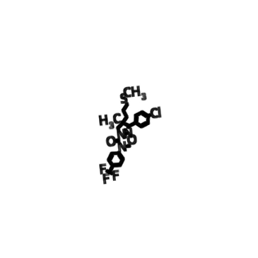 CSCCCC1(C)CN(C(=O)N(C=O)c2ccc(C(F)(F)F)cc2)N=C1c1ccc(Cl)cc1